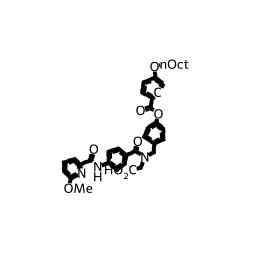 CCCCCCCCOc1ccc(C(=O)Oc2ccc(CN(CC(=O)O)C(=O)c3ccc(NC(=O)c4cccc(OC)n4)cc3)cc2)cc1